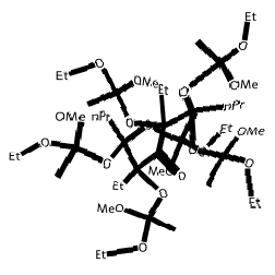 CCCC(OC(C)(OC)OCC)(OC(C)(OC)OCC)C(CC)(OC(C)(OC)OCC)C(=O)C(CC)(OC(C)(OC)OCC)C(CCC)(OC(C)(OC)OCC)OC(C)(OC)OCC